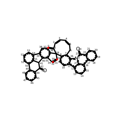 C=C1/C=C\C=C/Cc2c(ccc3c4cccc5c6ccccc6c(=O)n(c23)c54)C12c1ccccc1-c1c2ccc2c1C1C(=O)c3ccccc3-c3cccc-2c31